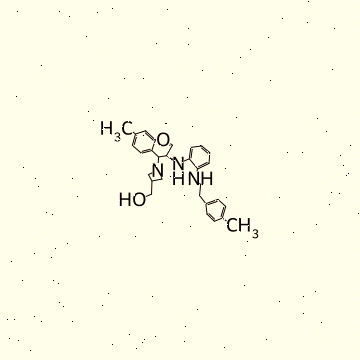 Cc1ccc(CCNc2ccccc2N[C@H](C=O)C(c2ccc(C)cc2)N2CC(CO)C2)cc1